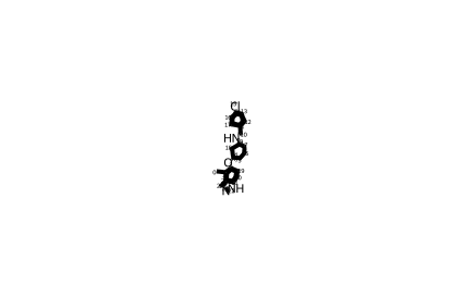 Cc1c(O[C@@H]2CCC[C@H](NCc3ccc(Cl)cc3)C2)ccc2[nH]ncc12